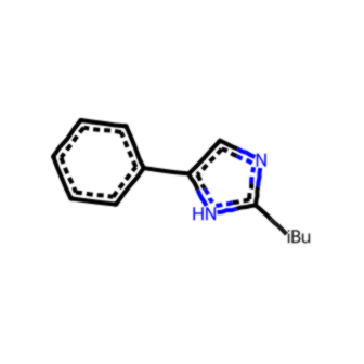 CCC(C)c1ncc(-c2ccccc2)[nH]1